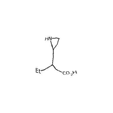 CCC(C(=O)O)C1CN1